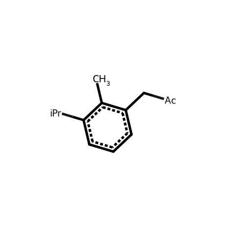 CC(=O)Cc1cccc(C(C)C)c1C